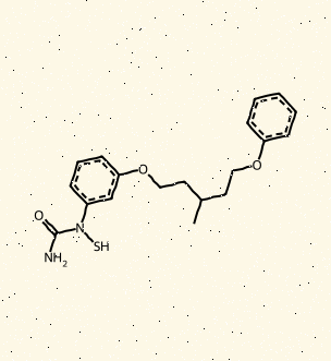 CC(CCOc1ccccc1)CCOc1cccc(N(S)C(N)=O)c1